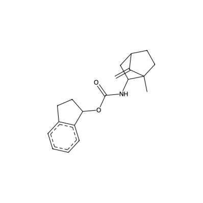 C=C1C2CCC1(C)C(NC(=O)OC1CCc3ccccc31)C2